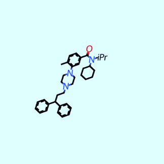 Cc1ccc(C(=O)N(C(C)C)C2CCCCC2)cc1N1CCN(CCC(c2ccccc2)c2ccccc2)CC1